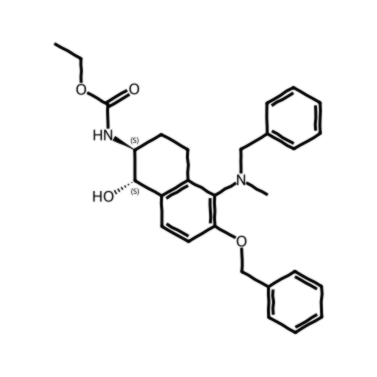 CCOC(=O)N[C@H]1CCc2c(ccc(OCc3ccccc3)c2N(C)Cc2ccccc2)[C@@H]1O